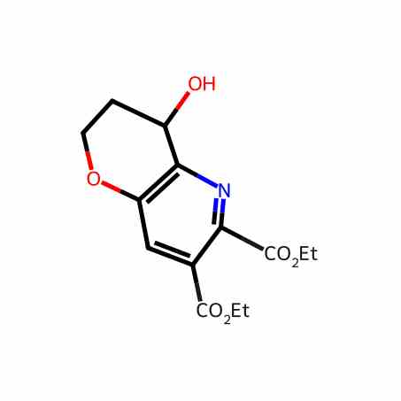 CCOC(=O)c1cc2c(nc1C(=O)OCC)C(O)CCO2